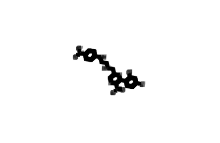 O=[N+]([O-])c1ccc(NCCNCc2cnc([N+](=O)[O-])c(-c3ccc(Cl)cc3Cl)n2)cc1